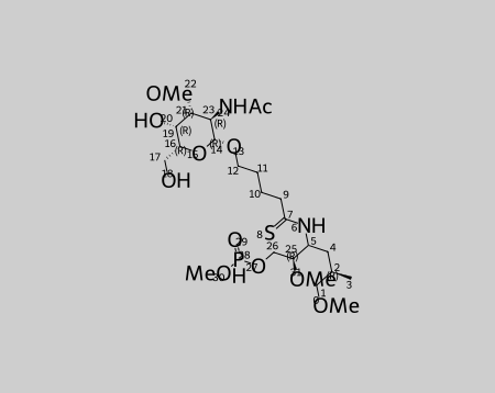 COC[C@H](C)CC(NC(=S)CCCCO[C@@H]1O[C@H](CO)[C@H](O)[C@H](OC)[C@H]1NC(C)=O)[C@H](CO[PH](=O)OC)OC